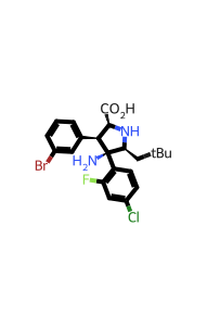 CC(C)(C)C[C@@H]1N[C@H](C(=O)O)[C@H](c2cccc(Br)c2)[C@@]1(N)c1ccc(Cl)cc1F